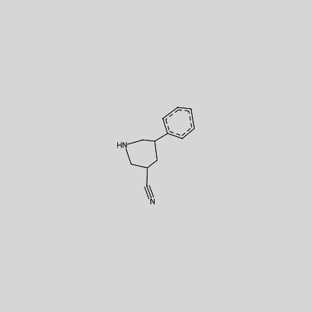 N#CC1CNCC(c2ccccc2)C1